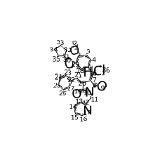 COc1ccc(C=C2C(=O)N(Cc3ccccn3)C(=O)C2=Cc2ccccc2)cc1OC1CCCC1.Cl